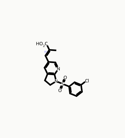 C/C(=C\c1cnc2c(c1)CCN2S(=O)(=O)c1cccc(Cl)c1)C(=O)O